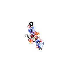 CC(C)C(=O)Nc1nc2c(nc(CO)n2CCOP(=S)(OCCC#N)OC[C@H]2O[C@@H](n3cnc4c(NC(=O)c5ccccc5)ncnc43)[C@H](O[PH](=O)O)[C@@H]2F)c(=O)[nH]1